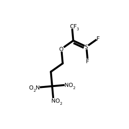 O=[N+]([O-])C(CCOC(=S(F)F)C(F)(F)F)([N+](=O)[O-])[N+](=O)[O-]